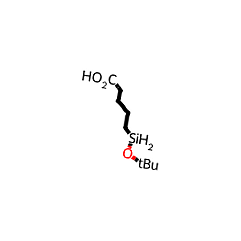 CC(C)(C)O[SiH2]CCCCC(=O)O